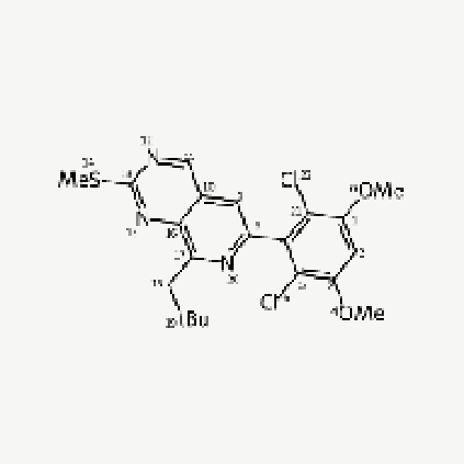 COc1cc(OC)c(Cl)c(-c2cc3cnc(SC)nc3c(CC(C)(C)C)n2)c1Cl